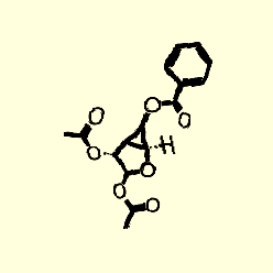 CC(=O)OC1O[C@@H]2C(OC(=O)c3ccccc3)C2[C@H]1OC(C)=O